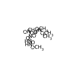 Cc1cccc(NC(=O)NCC(=O)N(CC(=O)N(C)c2ccccc2)c2cccc(OCC(=O)N(C)c3ccc(C)c(C)c3)c2)c1